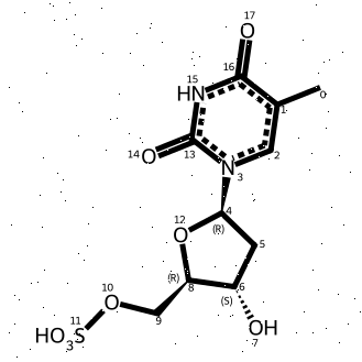 Cc1cn([C@H]2C[C@H](O)[C@@H](COS(=O)(=O)O)O2)c(=O)[nH]c1=O